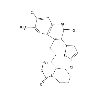 CC(C)(C)OC(=O)N1CCCCC1CCOc1c(-c2ccc(Cl)s2)c(=O)[nH]c2cc(Cl)c(C(=O)O)cc12